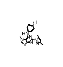 Cc1cc(C)n(-c2nc(Nc3ccc(Cl)cc3)c3c(ncn3C)n2)n1